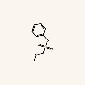 COCS(=O)(=O)Oc1ccccc1